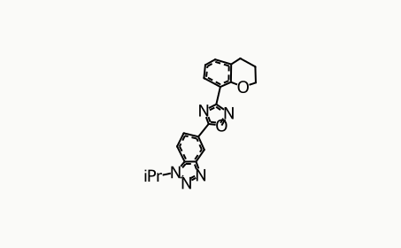 CC(C)n1nnc2cc(-c3nc(-c4cccc5c4OCCC5)no3)ccc21